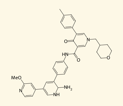 COc1cc(C2=CNC(N)C(c3ccc(NC(=O)c4cn(CC5CCOCC5)cc(-c5ccc(C)cc5)c4=O)cc3)=C2)ccn1